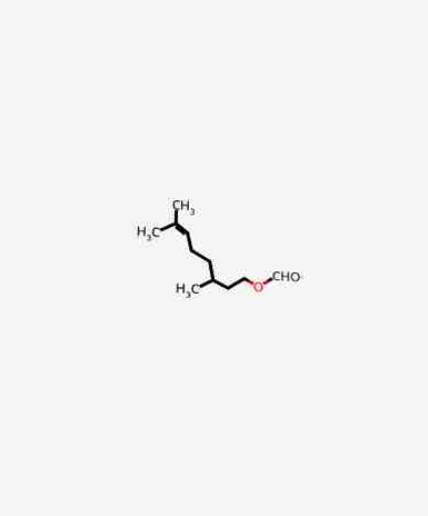 CC(C)=CCCC(C)CCO[C]=O